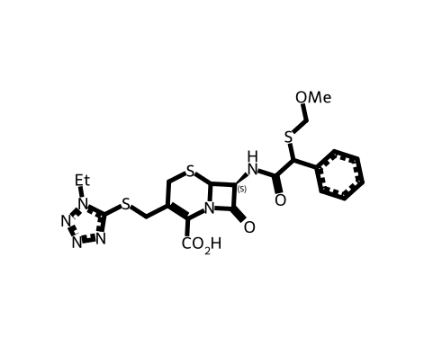 CCn1nnnc1SCC1=C(C(=O)O)N2C(=O)[C@H](NC(=O)C(SCOC)c3ccccc3)C2SC1